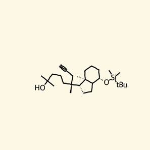 C#CC[C@@](C)(CCCC(C)(C)O)[C@H]1CCC2[C@@H](O[Si](C)(C)C(C)(C)C)CCC[C@@]21C